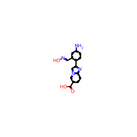 Nc1ccc(-c2cn3cc(C(=O)O)ccc3n2)c(C=NO)c1